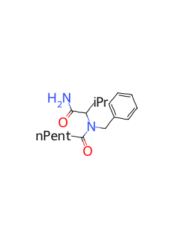 CCCCCC(=O)N(Cc1ccccc1)C(C(N)=O)C(C)C